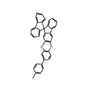 Cc1ccc(-c2ccc3c(c2)Oc2cc4c(cc2O3)-c2ccccc2C42c3ccccc3-c3ccccc32)cc1